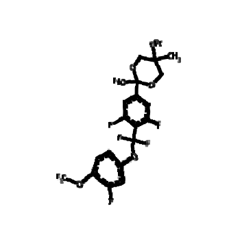 CCCC1(C)COC(O)(c2cc(F)c(C(F)(F)Oc3ccc(OC(F)(F)F)c(F)c3)c(F)c2)OC1